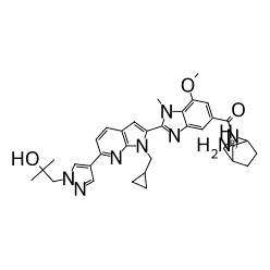 COc1cc(C(=O)N2CC3CCC2[C@@H]3N)cc2nc(-c3cc4ccc(-c5cnn(CC(C)(C)O)c5)nc4n3CC3CC3)n(C)c12